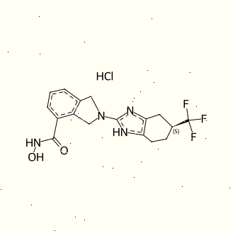 Cl.O=C(NO)c1cccc2c1CN(c1nc3c([nH]1)CC[C@H](C(F)(F)F)C3)C2